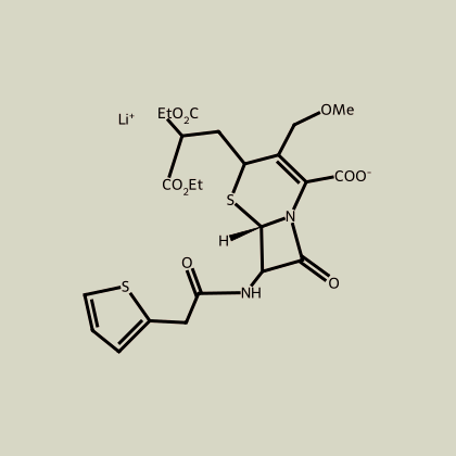 CCOC(=O)C(CC1S[C@H]2C(NC(=O)Cc3cccs3)C(=O)N2C(C(=O)[O-])=C1COC)C(=O)OCC.[Li+]